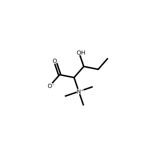 CCC(O)C(C(=O)[O-])[N+](C)(C)C